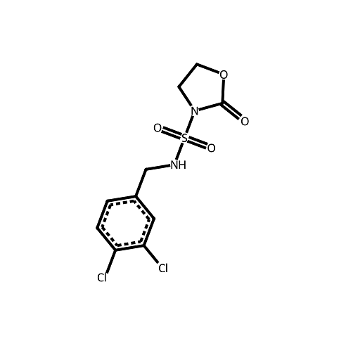 O=C1OCCN1S(=O)(=O)NCc1ccc(Cl)c(Cl)c1